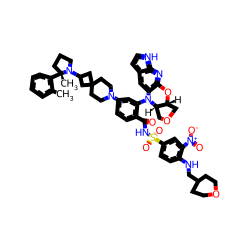 Cc1ccccc1[C@]1(C)CCCN1C1CC2(CCN(c3ccc(C(=O)NS(=O)(=O)c4ccc(NCC5CCOCC5)c([N+](=O)[O-])c4)c(N4c5cc6cc[nH]c6nc5O[C@@H]5COC[C@H]54)c3)CC2)C1